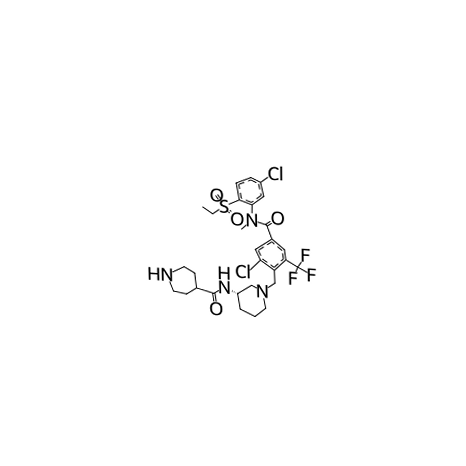 CCS(=O)(=O)c1ccc(Cl)cc1N(C)C(=O)c1cc(Cl)c(CN2CCC[C@H](NC(=O)C3CCNCC3)C2)c(C(F)(F)F)c1